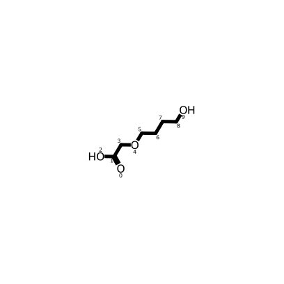 O=C(O)COCCCCO